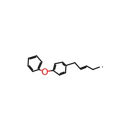 [CH2]CC=CCc1ccc(Oc2ccccc2)cc1